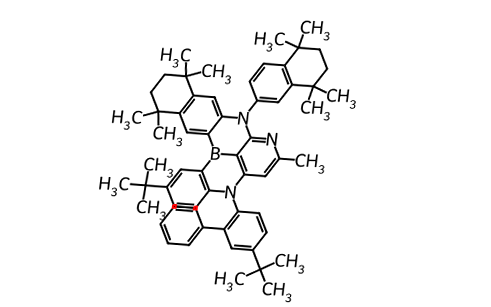 Cc1cc2c3c(n1)N(c1ccc4c(c1)C(C)(C)CCC4(C)C)c1cc4c(cc1B3c1cc(C(C)(C)C)ccc1N2c1ccc(C(C)(C)C)cc1-c1ccccc1)C(C)(C)CCC4(C)C